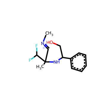 C/N=C/C(C)(NC(CO)c1ccccc1)C(F)F